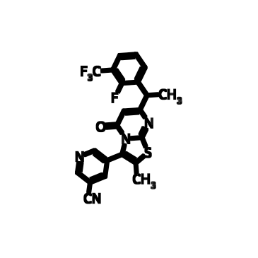 Cc1sc2nc(C(C)c3cccc(C(F)(F)F)c3F)cc(=O)n2c1-c1cncc(C#N)c1